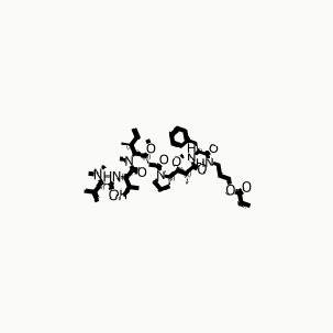 CCC(=O)OCCCNC(=O)[C@H](Cc1ccccc1)NC(=O)[C@H](C)[C@@H](OC)[C@@H]1CCCN1C(=O)C[C@@H](OC)[C@H]([C@@H](C)CC)N(C)C(=O)[C@@H](NC(O)[C@H](C(C)C)N(C)C)C(C)C